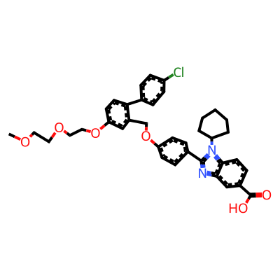 COCCOCCOc1ccc(-c2ccc(Cl)cc2)c(COc2ccc(-c3nc4cc(C(=O)O)ccc4n3C3CCCCC3)cc2)c1